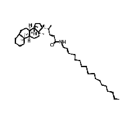 CCCCCCCCCCCCCCCCCCNC(=O)CCC(C)[C@H]1CC[C@H]2[C@@H]3CCC4CCCC[C@]4(C)[C@H]3CC[C@]12C